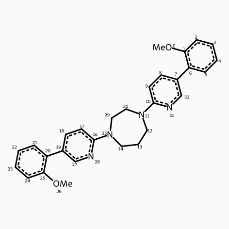 COc1ccccc1-c1ccc(N2CCCN(c3ccc(-c4ccccc4OC)cn3)CC2)nc1